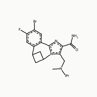 CC(C)N(C)Cc1c(C(N)=O)nc2n1C1CC(C1)c1cc(F)c(Br)cc1-2